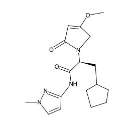 COC1=CC(=O)N([C@@H](CC2CCCC2)C(=O)Nc2ccn(C)n2)C1